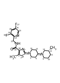 Cc1sc(N2CCC(N3CCC[C@@H](C)C3)CC2)nc1C(=O)NCc1ncc(F)cc1F